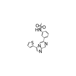 CS(=O)(=O)Nc1cccc(-c2cn3c(-c4cccs4)cnc3cn2)c1